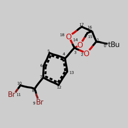 CC(C)(C)C1OC2(c3ccc(C(Br)CBr)cc3)OCC1CO2